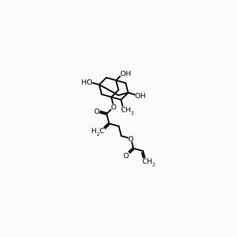 C=CC(=O)OCCC(=C)C(=O)OC12CC3(O)CC(O)(CC(O)(C3)C1C)C2